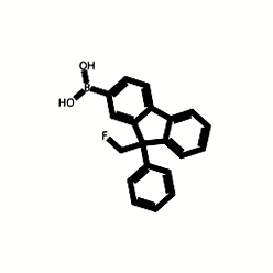 OB(O)c1ccc2c(c1)C(CF)(c1ccccc1)c1ccccc1-2